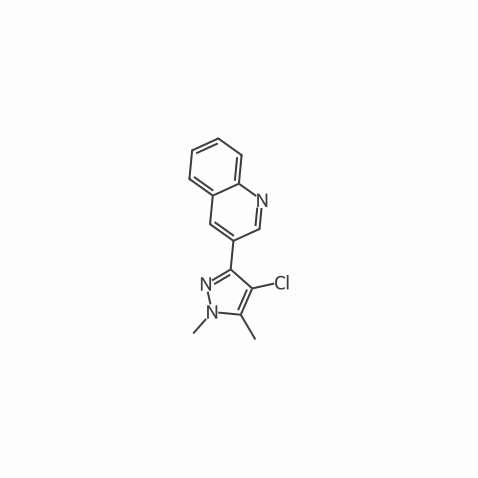 Cc1c(Cl)c(-c2cnc3ccccc3c2)nn1C